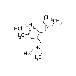 CCN(CC)CC1CC(C)=C(C)CC1CN(CC)CC.Cl